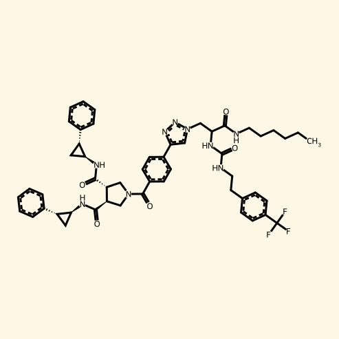 CCCCCCNC(=O)C(Cn1cc(-c2ccc(C(=O)N3C[C@@H](C(=O)N[C@H]4C[C@@H]4c4ccccc4)[C@H](C(=O)N[C@H]4C[C@@H]4c4ccccc4)C3)cc2)nn1)NC(=O)NCCc1ccc(C(F)(F)F)cc1